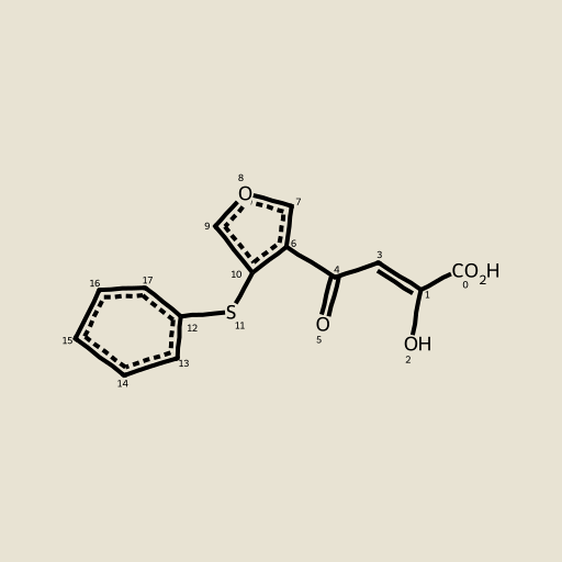 O=C(O)C(O)=CC(=O)c1cocc1Sc1ccccc1